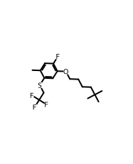 Cc1cc(F)c(OCCCCC(C)(C)C)cc1SCC(F)(F)F